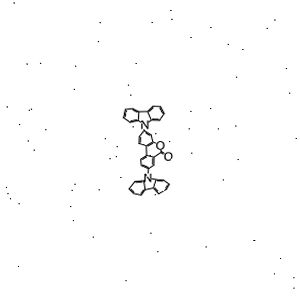 O=c1oc2cc(-n3c4ccccc4c4ccccc43)ccc2c2ccc(-n3c4ccccc4c4ccccc43)cc12